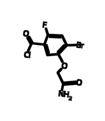 NC(=O)COc1cc(C(=O)Cl)c(F)cc1Br